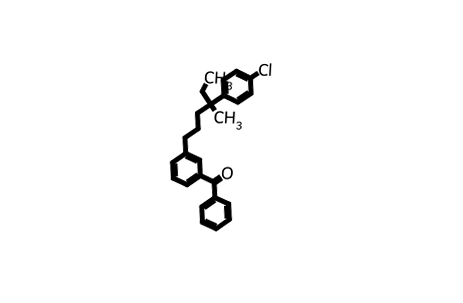 CCC(C)(CCCc1cccc(C(=O)c2ccccc2)c1)c1ccc(Cl)cc1